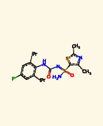 Cc1nc(C)c(S(N)(=O)=NC(=O)Nc2c(C(C)C)cc(F)cc2C(C)C)s1